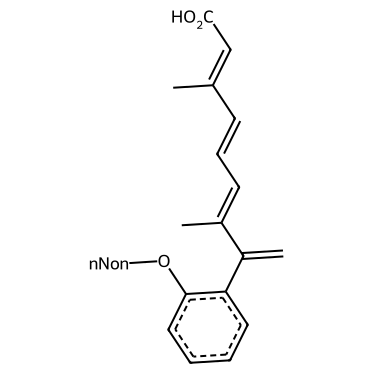 C=C(/C(C)=C/C=C/C(C)=C/C(=O)O)c1ccccc1OCCCCCCCCC